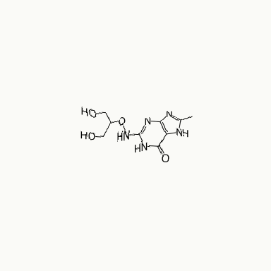 Cc1nc2nc(NOC(CO)CO)[nH]c(=O)c2[nH]1